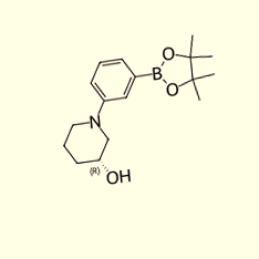 CC1(C)OB(c2cccc(N3CCC[C@@H](O)C3)c2)OC1(C)C